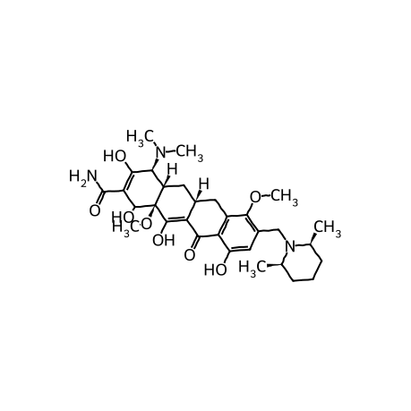 COc1c(CN2[C@H](C)CCC[C@@H]2C)cc(O)c2c1C[C@H]1C[C@H]3[C@H](N(C)C)C(O)=C(C(N)=O)C(O)[C@@]3(OC)C(O)=C1C2=O